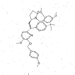 COc1ccc(COc2nc(/C(=C/[C@H]3CCC(=O)N3Cc3ccc(OC)cc3OC)c3ccc(C(C)(C)C)cc3)ccc2OC)cc1